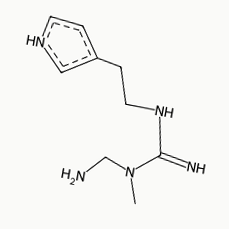 CN(CN)C(=N)NCCc1cc[nH]c1